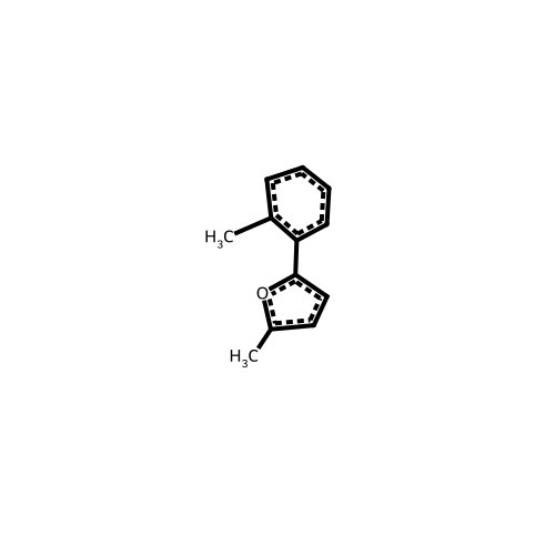 Cc1ccc(-c2ccccc2C)o1